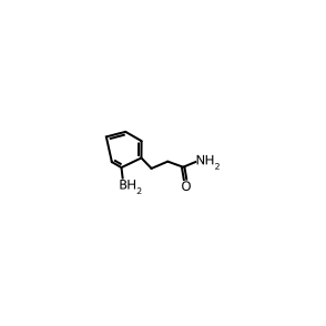 Bc1ccccc1CCC(N)=O